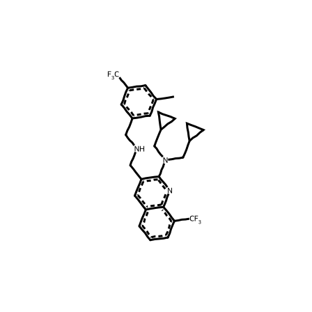 Cc1cc(CNCc2cc3cccc(C(F)(F)F)c3nc2N(CC2CC2)CC2CC2)cc(C(F)(F)F)c1